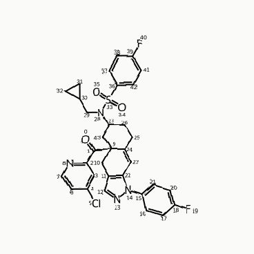 O=C(c1cc(Cl)ccn1)[C@]12Cc3cnn(-c4ccc(F)cc4)c3C=C1CC[C@H](N(CC1CC1)S(=O)(=O)c1ccc(F)cc1)C2